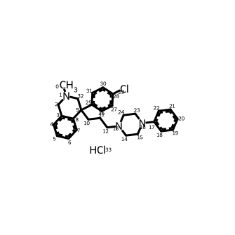 CN1Cc2ccccc2C(CCCN2CCN(c3ccccc3)CC2)(c2ccc(Cl)cc2)C1.Cl